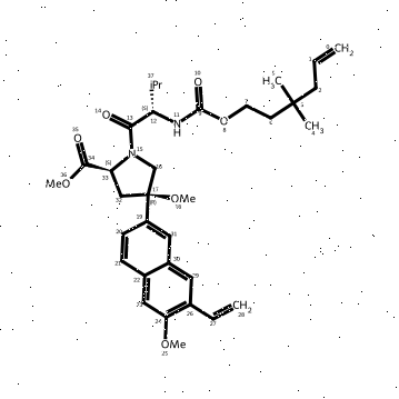 C=CCC(C)(C)CCOC(=O)N[C@H](C(=O)N1C[C@](OC)(c2ccc3cc(OC)c(C=C)cc3c2)C[C@H]1C(=O)OC)C(C)C